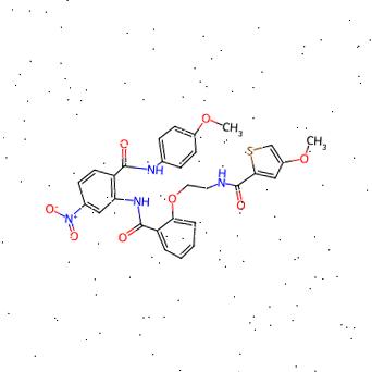 COc1ccc(NC(=O)c2ccc([N+](=O)[O-])cc2NC(=O)c2ccccc2OCCNC(=O)c2cc(OC)cs2)cc1